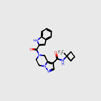 O=C(NC1(C(F)(F)F)CCC1)c1cnn2c1CN(C(=O)c1cc3ccccc3[nH]1)CC2